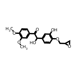 COc1ccc(C(=O)C(O)c2ccc(OCC3CO3)c(O)c2)cc1OC